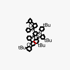 Cc1cccc2c1oc1c(N(c3ccccc3)c3cc4c5c(c3)N(c3ccccc3-c3cccc6c3oc3c(C(C)(C)C)cccc36)c3ccc(C(C)(C)C)cc3B5c3cc(C(C)(C)C)ccc3N4c3ccc(C(C)(C)C)cc3)cccc12